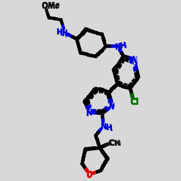 COCCNC1CCC(Nc2cc(-c3ccnc(NCC4(C#N)CCOCC4)n3)c(Cl)cn2)CC1